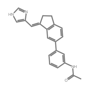 CC(=O)Nc1cccc(-c2ccc3c(c2)/C(=C/c2c[nH]cn2)CC3)c1